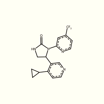 O=C1NCC(c2cnccc2C2CC2)N1c1cc(C(F)(F)F)ccn1